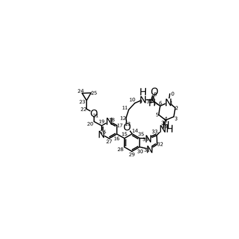 CN1CC[C@H]2C[C@H]1C(=O)NCCCOc1c(-c3cnc(COCC4CC4)nc3)ccc3ncc(nc13)N2